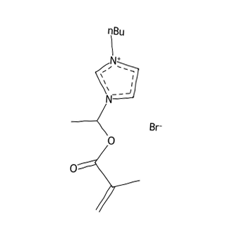 C=C(C)C(=O)OC(C)n1cc[n+](CCCC)c1.[Br-]